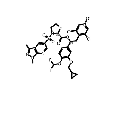 Cc1nn(C)c2ncc(S(=O)(=O)N3CCS[C@H]3C(=O)O[C@@H](Cc3c(Cl)c[n+]([O-])cc3Cl)c3ccc(OC(F)F)c(OCC4CC4)c3)cc12